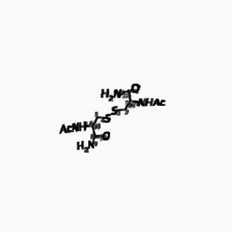 CC(=O)N[C@@H](CSSC[C@H](NC(C)=O)C(N)=O)C(N)=O